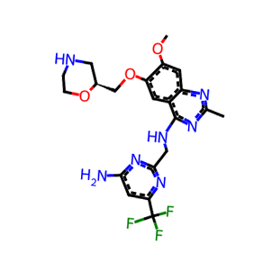 COc1cc2nc(C)nc(NCc3nc(N)cc(C(F)(F)F)n3)c2cc1OC[C@@H]1CNCCO1